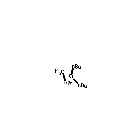 CCCC.CCCCOCCCC